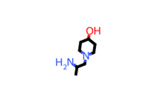 CC(N)CN1CCC(O)CC1